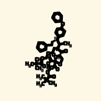 CC([C@H](CCc1ccccc1)c1ccc(Oc2ccccc2)cc1)N(CC(=O)OCOC(=O)C(C)(C)C)C(=O)[C@@H]1COC(C(=O)O)(C(=O)OCOC(=O)C(C)(C)C)O1